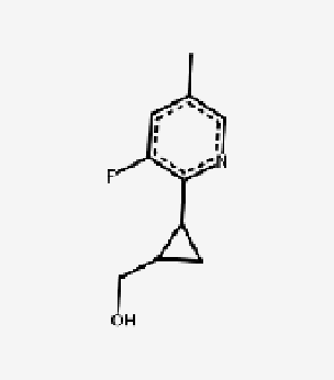 Cc1cnc(C2CC2CO)c(F)c1